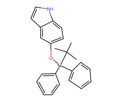 CC(C)(C)[Si](Oc1ccc2[nH]ccc2c1)(c1ccccc1)c1ccccc1